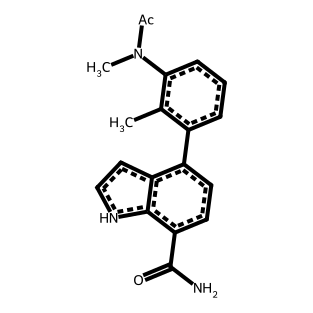 CC(=O)N(C)c1cccc(-c2ccc(C(N)=O)c3[nH]ccc23)c1C